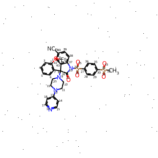 CCOc1ccccc1C1(N2CCN(c3ccncc3)CC2)C(=O)N(S(=O)(=O)c2ccc(S(C)(=O)=O)cc2)c2ccc(C#N)cc21